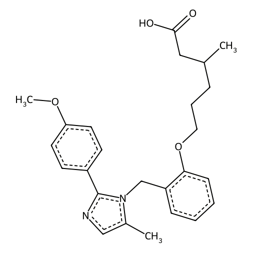 COc1ccc(-c2ncc(C)n2Cc2ccccc2OCCCC(C)CC(=O)O)cc1